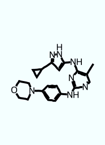 Cc1cnc(Nc2ccc(N3CCOCC3)cc2)nc1Nc1cc(C2CC2)n[nH]1